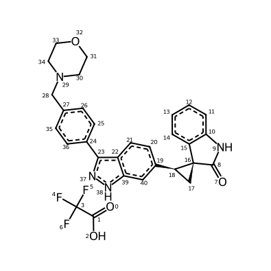 O=C(O)C(F)(F)F.O=C1Nc2ccccc2[C@]12C[C@H]2c1ccc2c(-c3ccc(CN4CCOCC4)cc3)n[nH]c2c1